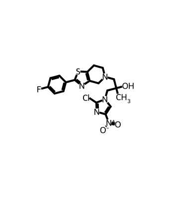 CC(O)(CN1CCc2sc(-c3ccc(F)cc3)nc2C1)Cn1cc([N+](=O)[O-])nc1Cl